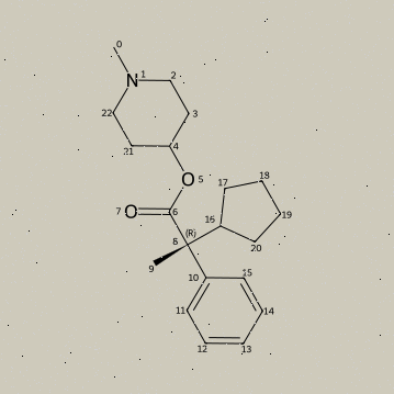 CN1CCC(OC(=O)[C@@](C)(c2ccccc2)C2CCCC2)CC1